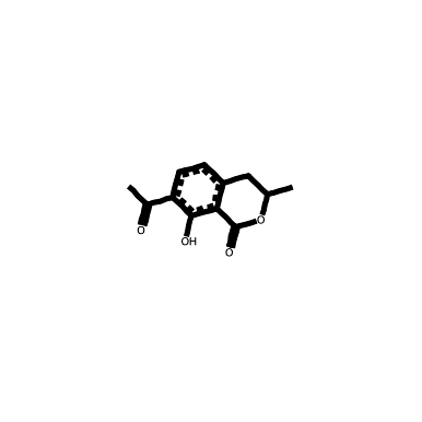 CC(=O)c1ccc2c(c1O)C(=O)OC(C)C2